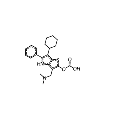 CN(C)Cc1c(OC(=O)O)sc2c(C3CCCCC3)c(-c3ccccc3)[nH]c12